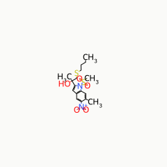 CCCCSCC(C)(O)c1cc2cc([N+](=O)[O-])c(C)cc2n1S(C)(=O)=O